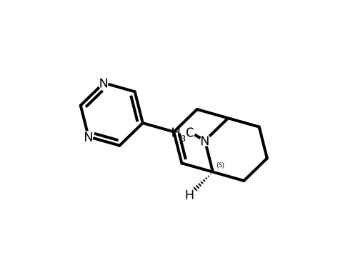 CN1C2CCC[C@H]1C=C(c1cncnc1)C2